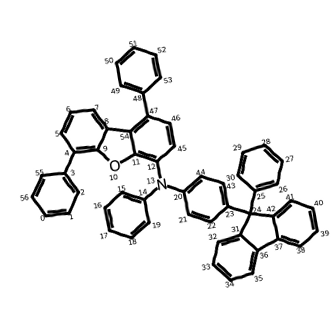 c1ccc(-c2cccc3c2oc2c(N(c4ccccc4)c4ccc(C5(c6ccccc6)c6ccccc6-c6ccccc65)cc4)ccc(-c4ccccc4)c23)cc1